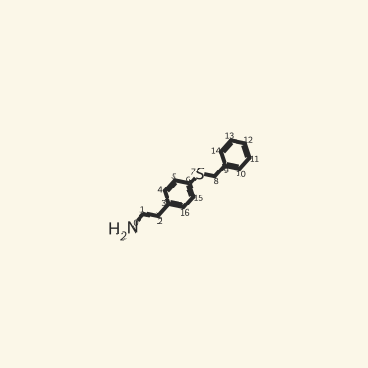 NCCc1ccc(SCc2ccccc2)cc1